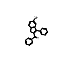 O=C(C1=C(c2ccccc2)c2cc(O)ccc2C1)c1ccccc1